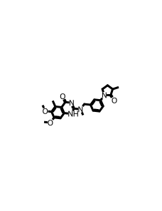 COc1cc2[nH]c(N(C)Cc3cccc(N4CCC(C)C4=O)c3)nc(=O)c2c(C)c1OC